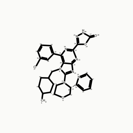 CC1CCC(Cn2c(N3CCOC[C@H]3c3ccccn3)nc3nc(-c4n[nH]c(=O)o4)nc(-c4cccc(Cl)c4)c32)CC1